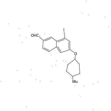 CC(C)(C)C1CCC(Oc2cc(I)c3cc(C=O)ccc3c2)CC1